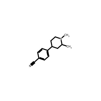 CC1CC(c2ccc(C#N)cc2)CCN1C